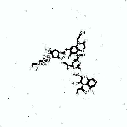 C#CCN1C(=O)COc2cc(F)c(/N=c3\snc4n3CC(C)(C)C4)cc21.CCNc1nc(Cl)nc(NC(C)(C)C)n1.CCc1cccc(C)c1N(C(=O)CCl)C(C)COC.O=C(O)CNCP(=O)(O)O